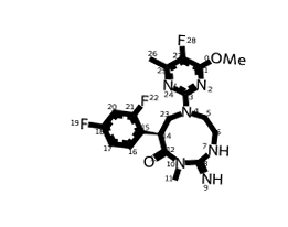 COc1nc(N2CCNC(=N)N(C)C(=O)[C@@H](c3ccc(F)cc3F)C2)nc(C)c1F